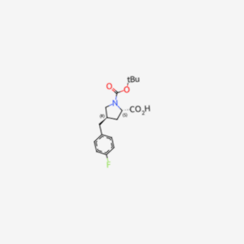 CC(C)(C)OC(=O)N1C[C@H](Cc2ccc(F)cc2)C[C@H]1C(=O)O